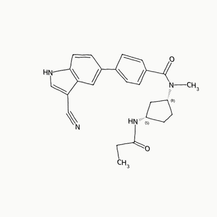 CCC(=O)N[C@H]1CC[C@@H](N(C)C(=O)c2ccc(-c3ccc4[nH]cc(C#N)c4c3)cc2)C1